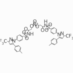 Cc1ccc(-c2cc(C(F)(F)F)nn2-c2ccc(S(=O)(=O)NC(=O)CO[N+](=O)OCC(=O)NS(=O)(=O)c3ccc(-n4nc(C(F)(F)F)cc4-c4ccc(C)cc4)cc3)cc2)cc1